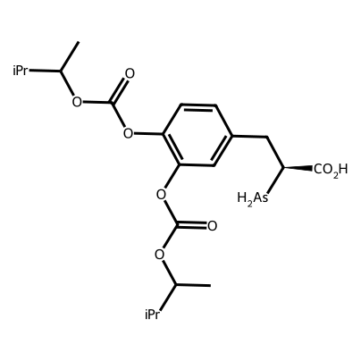 CC(C)C(C)OC(=O)Oc1ccc(C[C@H]([AsH2])C(=O)O)cc1OC(=O)OC(C)C(C)C